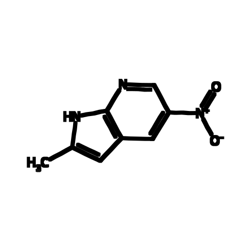 Cc1cc2cc([N+](=O)[O-])cnc2[nH]1